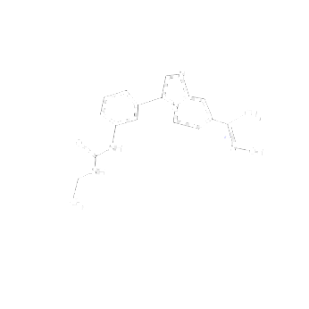 C/C(=N\O)c1ccn2c(-c3cccc(NC(=O)NCC(F)(F)F)c3)cnc2c1